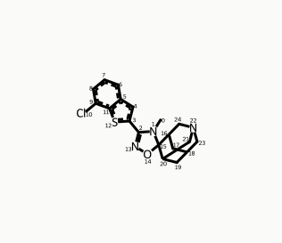 CN1C(c2cc3cccc(Cl)c3s2)=NOC12C1CC3CC2CN(C3)C1